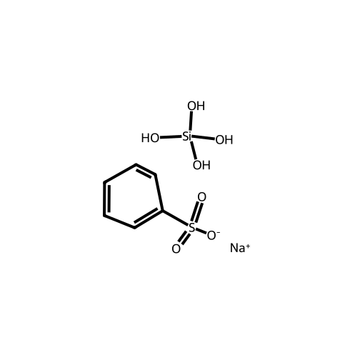 O=S(=O)([O-])c1ccccc1.O[Si](O)(O)O.[Na+]